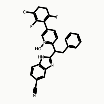 N#Cc1ccc2[nH]c(C(Cc3ccccc3)c3ccc(C4=C(F)CCC(Cl)=C4F)c[n+]3O)nc2c1